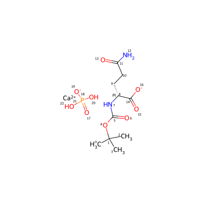 CC(C)(C)OC(=O)N[C@H](CCC(N)=O)C(=O)[O-].O=P([O-])(O)O.[Ca+2]